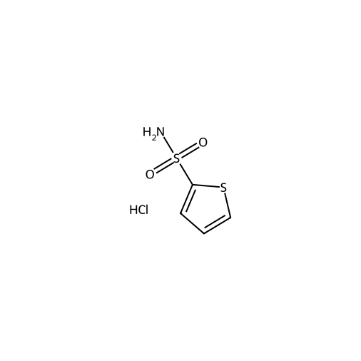 Cl.NS(=O)(=O)c1cccs1